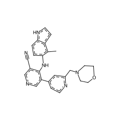 Cc1c(Nc2c(C#N)cncc2-c2ccnc(CN3CCOCC3)c2)ccc2[nH]ccc12